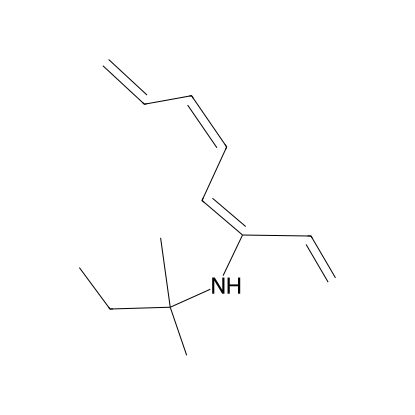 C=C/C=C\C=C(/C=C)NC(C)(C)CC